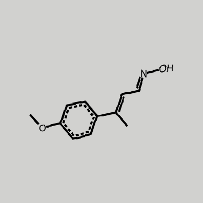 COc1ccc(C(C)=CC=NO)cc1